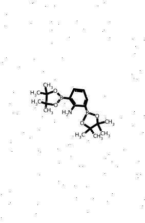 CC1(C)OB(c2cccc(B3OC(C)(C)C(C)(C)O3)c2N)OC1(C)C